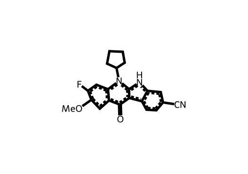 COc1cc2c(=O)c3c4ccc(C#N)cc4[nH]c3n(C3CCCC3)c2cc1F